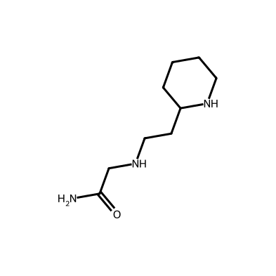 NC(=O)CNCCC1CCCCN1